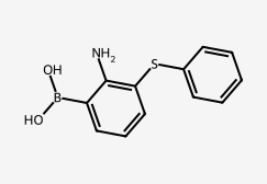 Nc1c(Sc2ccccc2)cccc1B(O)O